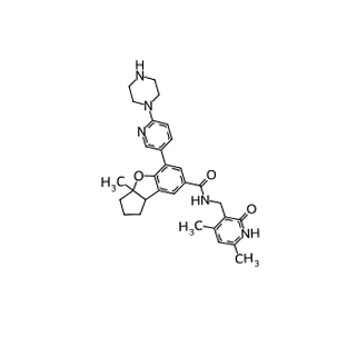 Cc1cc(C)c(CNC(=O)c2cc(-c3ccc(N4CCNCC4)nc3)c3c(c2)C2CCCC2(C)O3)c(=O)[nH]1